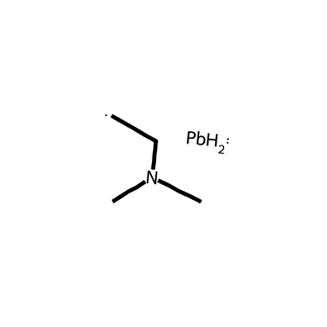 [CH2]CN(C)C.[PbH2]